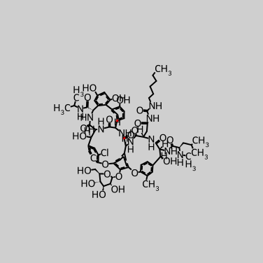 CCCCCCNC(=O)NC(=O)C[C@@H]1NC(=O)[C@H](NC(=O)[C@@H](CC(C)C)NC)[C@H](O)c2ccc(c(C)c2)Oc2cc3cc(c2O[C@@H]2O[C@H](CO)[C@@H](O)[C@H](O)[C@H]2O)Oc2ccc(cc2Cl)[C@@H](O)[C@@H]2NC(=O)[C@H](NC(=O)[C@@H]3NC1=O)c1ccc(O)c(c1)-c1c(O)cc(O)cc1[C@@H](C(=O)NC(C)C)NC2=O